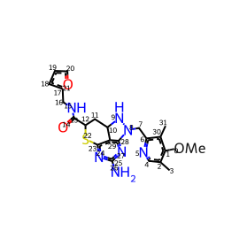 COc1c(C)cnc(CN2NC3CC(C(=O)NCc4ccco4)Sc4nc(N)nc2c43)c1C